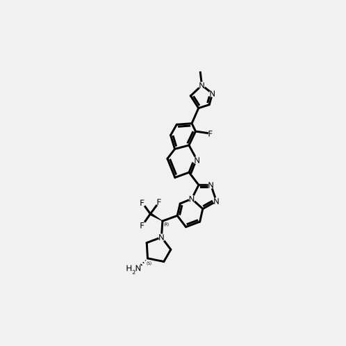 Cn1cc(-c2ccc3ccc(-c4nnc5ccc([C@@H](N6CC[C@H](N)C6)C(F)(F)F)cn45)nc3c2F)cn1